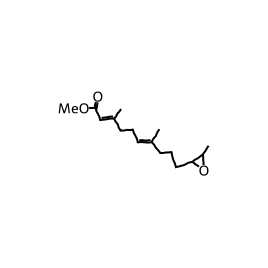 COC(=O)/C=C(\C)CC/C=C(\C)CCCC1OC1C